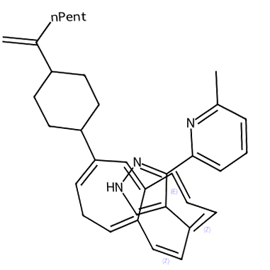 C=C(CCCCC)C1CCC(C2=CCC=C3\C=C/C(c4c[nH]nc4-c4cccc(C)n4)=C/C=C/C3=C2)CC1